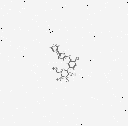 OC[C@H]1O[C@@H](c2ccc(Cl)c(Cc3nnc(-c4ccsc4)s3)c2)[C@H](O)[C@@H](O)[C@@H]1O